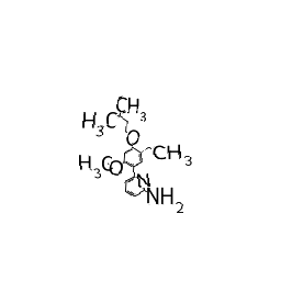 CCc1cc(-c2cccc(N)n2)c(OC)cc1OCCC(C)C